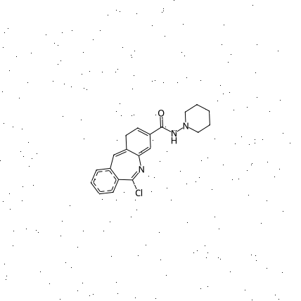 O=C(NN1CCCCC1)C1=CCC2=Cc3ccccc3C(Cl)=NC2=C1